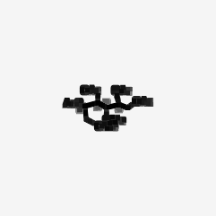 COC[C@@H](OC(C)=O)[C@@H](OC(C)=O)[C@H](OC)[C@H](COC(C)=O)OC(C)=O